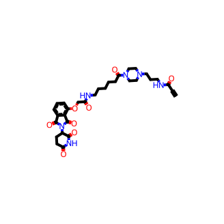 C#CC(=O)NCCCN1CCN(C(=O)CCCCCNC(=O)COc2cccc3c2C(=O)N(C2CCC(=O)NC2=O)C3=O)CC1